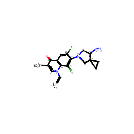 C=Cn1cc(C(=O)O)c(=O)c2cc(F)c(N3CC(N)C4(CC4)C3)c(F)c21